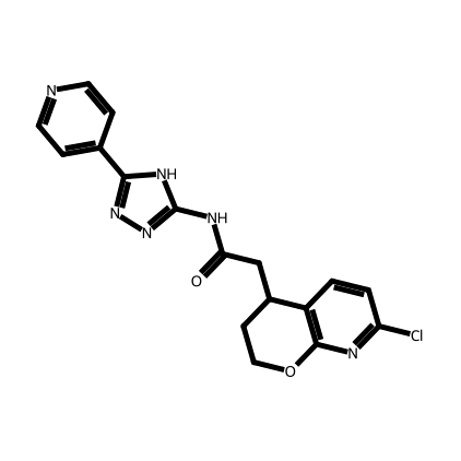 O=C(CC1CCOc2nc(Cl)ccc21)Nc1nnc(-c2ccncc2)[nH]1